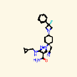 N#CC[C@]1(n2cc(C(N)=O)c(NCC3CC3)n2)CC[C@H](N2CC(F)(c3ccccc3)C2)CC1